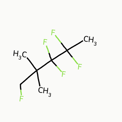 CC(F)(F)C(F)(F)C(C)(C)CF